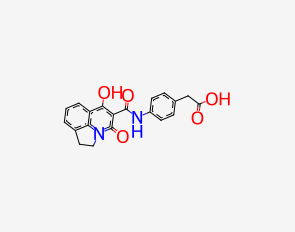 O=C(O)Cc1ccc(NC(=O)c2c(O)c3cccc4c3n(c2=O)CC4)cc1